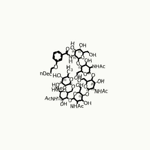 CCCCCCCCCCCOc1cccc(C(=O)N[C@@H]2C(O[C@@H]3C(CO)O[C@@H](OC4C(CO)O[C@@H](O[C@@H]5C(CO)OC(OC6C(CO[C@@H]7OC(C)[C@@H](O)[C@@H](O)C7OC)OC(O)[C@@H](NC(C)=O)[C@H]6O)C(NC(C)=O)C5O)[C@@H](NC(C)=O)[C@H]4O)C(NC(C)=O)C3O)OC(CO)[C@@H](O)[C@@H]2O)c1